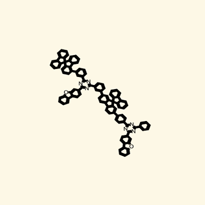 c1ccc(-c2nc(-c3ccc(-c4ccc5c(c4)C4(c6ccccc6-c6ccccc64)c4cc(-c6cccc(-c7nc(-c8cccc(-c9cccc%10c9-c9ccccc9C%109c%10ccccc%10-c%10ccccc%109)c8)nc(-c8ccc9c(c8)oc8ccccc89)n7)c6)ccc4-5)cc3)nc(-c3ccc4c(c3)oc3ccccc34)n2)cc1